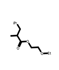 CCOCCOC(=O)C(C)CC(C)C